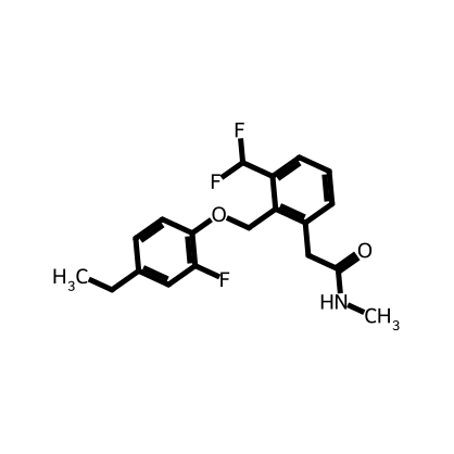 CCc1ccc(OCc2c(CC(=O)NC)cccc2C(F)F)c(F)c1